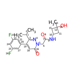 CC(C)c1nn(CC(=O)NC2CC(C)(O)C2)c(=O)cc1-c1cc(F)cc(F)c1